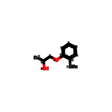 CCC(O)COc1ccccc1SC